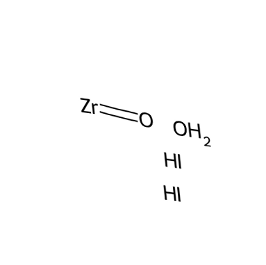 I.I.O.[O]=[Zr]